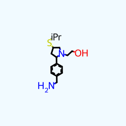 CC(C)SC1CC(c2ccc(CN)cc2)N(CCO)C1